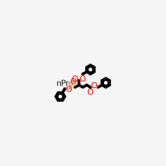 CCCP(=O)(CC(CCC(=O)OCc1ccccc1)C(=O)OCc1ccccc1)OCc1ccccc1